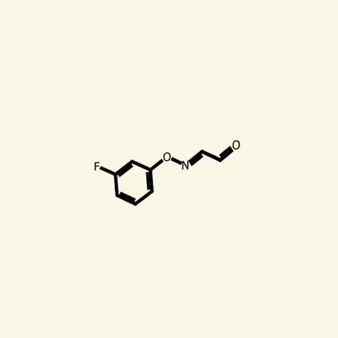 O=CC=NOc1cccc(F)c1